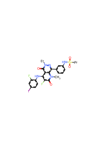 [CH2]C(C)S(=O)(=O)Nc1cccc(-c2nn(CC)c(=O)c3c(Nc4ccc(I)cc4F)c(F)c(=O)n(C)c23)c1